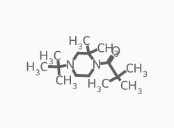 CC(C)(C)C(=O)N1CCN(C(C)(C)C)CC1(C)C